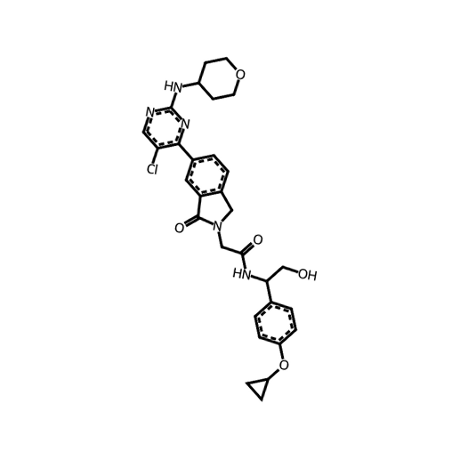 O=C(CN1Cc2ccc(-c3nc(NC4CCOCC4)ncc3Cl)cc2C1=O)NC(CO)c1ccc(OC2CC2)cc1